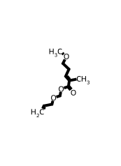 C=CCOCOC(=O)C(C)=CCCOC